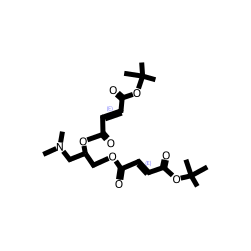 CN(C)CC(COC(=O)/C=C/C(=O)OC(C)(C)C)OC(=O)/C=C/C(=O)OC(C)(C)C